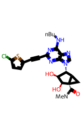 CCCCNc1nc(C#Cc2ccc(Cl)s2)nc2c1ncn2[C@@H]1C2C[C@@]2(C(=O)NC)[C@@H](O)[C@H]1O